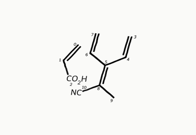 C=CC(=O)O.C=CC(C=C)=C(C)C#N